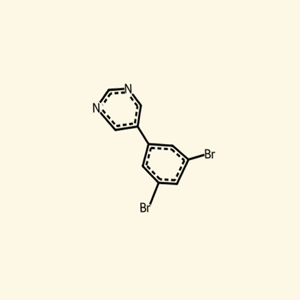 Brc1cc(Br)cc(-c2cncnc2)c1